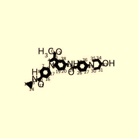 CC(=O)c1cn(-c2ccc(C(=O)NC3CC3)cc2)c2ccc(NC(=O)c3ccc(N4CCC(O)CC4)cc3)cc12